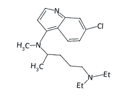 CCN(CC)CCCC(C)N(C)c1ccnc2cc(Cl)ccc12